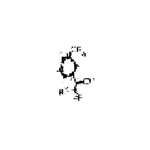 O=C(c1cccc(C(F)(F)F)c1)C(F)Br